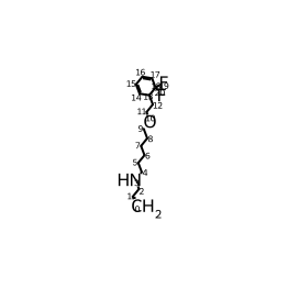 C=CCNCCCCCCOCCC1C=CC=CC1(F)F